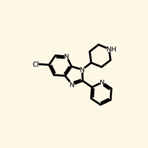 Clc1cnc2c(c1)nc(-c1ccccn1)n2C1CCNCC1